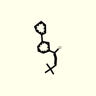 CC(C)(C)C=C=C(Cl)c1cccc(-c2ccccc2)c1